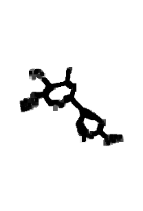 CNc1ncc(-c2nc(F)c(C(F)(F)F)c(OC)n2)cn1